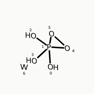 OP1(O)(O)OO1.[W]